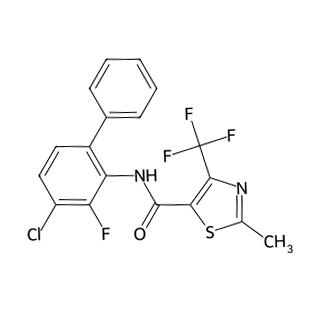 Cc1nc(C(F)(F)F)c(C(=O)Nc2c(-c3ccccc3)ccc(Cl)c2F)s1